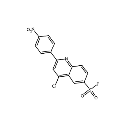 O=[N+]([O-])c1ccc(-c2cc(Cl)c3cc(S(=O)(=O)F)ccc3n2)cc1